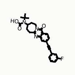 CC(C)(C)N(C(=O)O)C1CCc2nc3cc(C#Cc4cccc(F)c4)ccc3c(=O)n2CC1